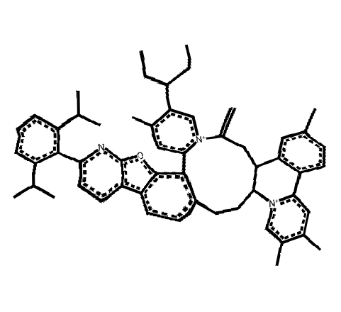 C=C1CC2c3cc(C)ccc3-c3cc(C)c(C)c[n+]3C2CCc2ccc3c(oc4nc(-c5c(C(C)C)cccc5C(C)C)ccc43)c2-c2cc(C)c(C(CC)CC)c[n+]21